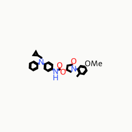 COc1ccc(C)c(N2CC(OC(=O)Nc3ccc(N(CC4CC4)c4ccccc4)cc3)CC2=O)c1